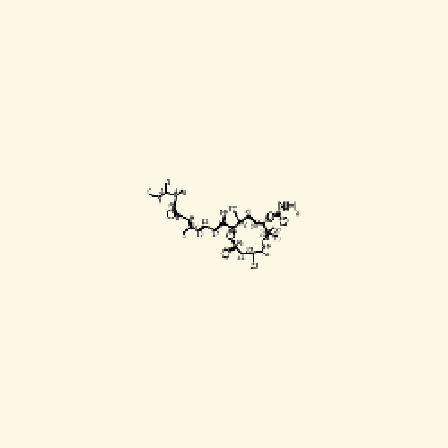 CCC(C)C(C)C1OC1CC(C)/C=C/C=C(\C)C1OC(=O)CC(C)CCC(C)(C)C(OC(N)=O)/C=C/C1C